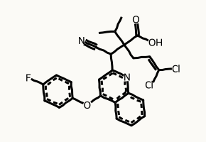 CC(C)C(CC=C(Cl)Cl)(C(=O)O)C(C#N)c1cc(Oc2ccc(F)cc2)c2ccccc2n1